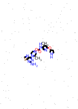 Cc1cc(O[C@H]2CCNC2)ncc1NC(=O)ON1CCN(c2nc(N)nc3scnc23)C(C)C1